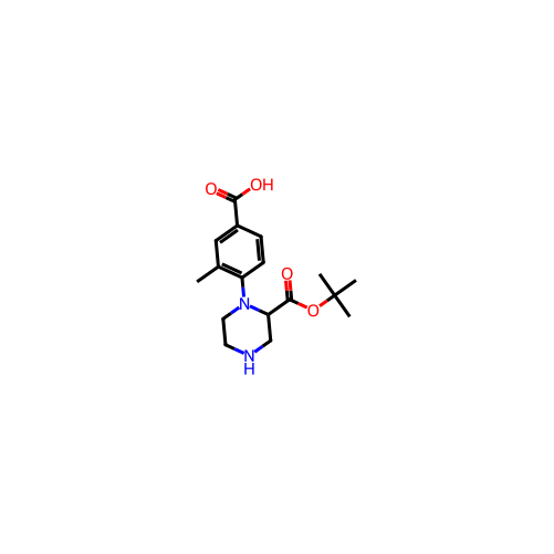 Cc1cc(C(=O)O)ccc1N1CCNCC1C(=O)OC(C)(C)C